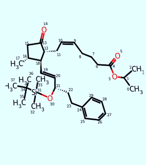 CC(C)OC(=O)CCC/C=C\C[C@H]1C(=O)C[C@@H](C)[C@@H]1/C=C/[C@H](CCc1ccccc1)O[Si](C)(C)C(C)(C)C